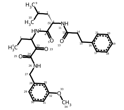 CCC(NC(=O)[C@H](CC(C)C)NC(=O)CCc1ccccc1)C(=O)C(=O)NCc1cccc(OC)c1